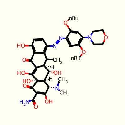 CCCCOc1cc(N2CCOCC2)c(OCCCC)cc1N=Nc1ccc(O)c2c1C(C)[C@@H]1C(=C(O)[C@]3(O)C(=O)C(C(N)=O)=C(O)[C@@H](N(C)C)[C@@H]3[C@H]1O)C2=O